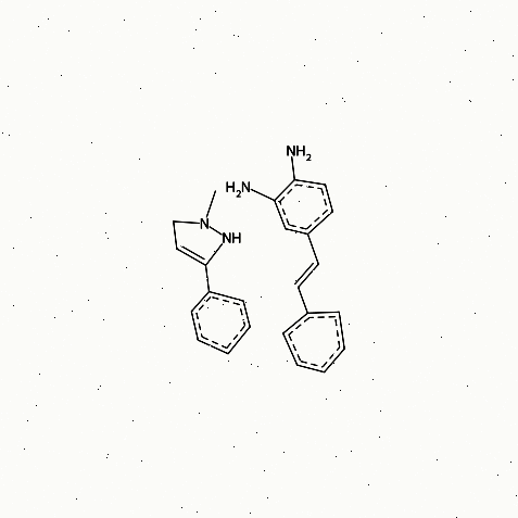 CN1CC=C(c2ccccc2)N1.Nc1ccc(C=Cc2ccccc2)cc1N